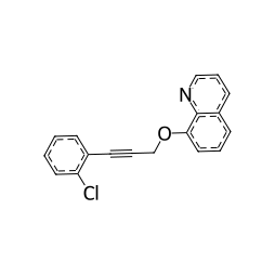 Clc1ccccc1C#CCOc1cccc2cccnc12